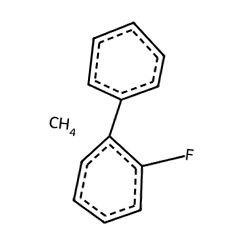 C.Fc1ccccc1-c1ccccc1